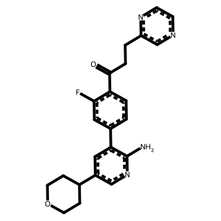 Nc1ncc(C2CCOCC2)cc1-c1ccc(C(=O)CCc2cnccn2)c(F)c1